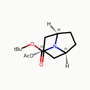 CC(=O)O[C@@H]1C[C@H]2CC[C@@H](C1)N2C(=O)OC(C)(C)C